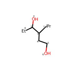 CCC(O)C(CCO)C(C)C